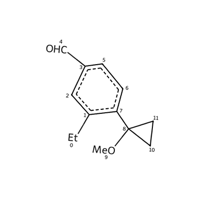 CCc1cc(C=O)ccc1C1(OC)CC1